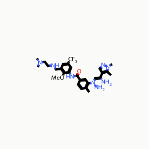 COc1c(CNCCN(C)C)cc(C(F)(F)F)cc1NC(=O)c1ccc(C)c(N(N)/C=C(\N)c2cnn(C)c2C)c1